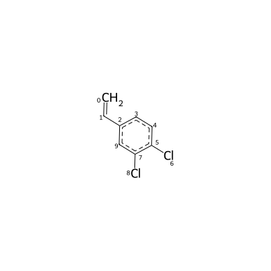 C=Cc1ccc(Cl)c(Cl)c1